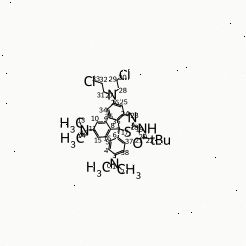 CN(C)c1ccc(C2(c3ccc(N(C)C)cc3)SC(NC(=O)C(C)(C)C)=Nc3cc(N(CCCl)CCCl)ccc32)cc1